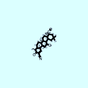 C[C@@H]1C(=O)C(C#N)=C[C@]2(C)C3=CC(=O)C4C5CC(C)(C)CC[C@]5(N=C=O)CC[C@@]4(C)[C@]3(C)CCC12